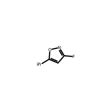 CC(C)c1cc(F)no1